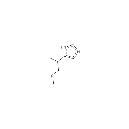 C=CCC(C)c1cnc[nH]1